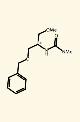 CNC(=O)N[C@H](COC)COCc1ccccc1